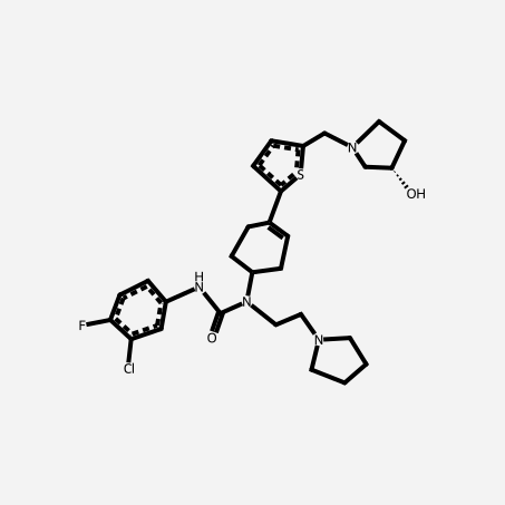 O=C(Nc1ccc(F)c(Cl)c1)N(CCN1CCCC1)C1CC=C(c2ccc(CN3CC[C@H](O)C3)s2)CC1